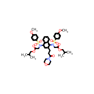 COc1ccc(S(=O)(=O)N(CC(=O)OCC(C)C)c2cc(CCC(=O)N3CCOCC3)c(N(CC(=O)OCC(C)C)S(=O)(=O)c3ccc(OC)cc3)c3ccccc23)cc1